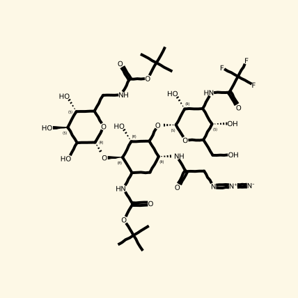 CC(C)(C)OC(=O)NCC1O[C@H](O[C@@H]2C(NC(=O)OC(C)(C)C)C[C@@H](NC(=O)CN=[N+]=[N-])C(O[C@H]3OC(CO)[C@@H](O)C(NC(=O)C(F)(F)F)[C@H]3O)[C@H]2O)C(O)[C@@H](O)[C@@H]1O